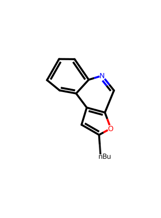 CCCCc1cc2c(cnc3ccccc32)o1